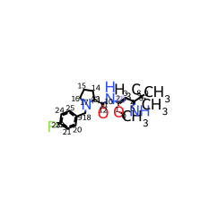 CO/C(=C\C(=N)C(C)(C)C)NC(=O)[C@@H]1CCCN1Cc1ccc(F)cc1